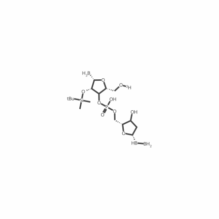 [2H]OC[C@H]1O[C@@H](B)[C@@H](O[Si](C)(C)C(C)(C)C)C1OP(=O)(O)OC[C@H]1O[C@@H](BB)CC1O